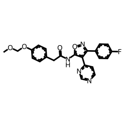 COCOc1ccc(CC(=O)Nc2onc(-c3ccc(F)cc3)c2-c2ccncn2)cc1